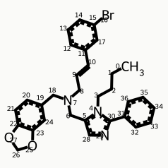 CCCCn1c(CN(CC=Cc2cccc(Br)c2)Cc2ccc3c(c2)OCO3)cnc1-c1ccccc1